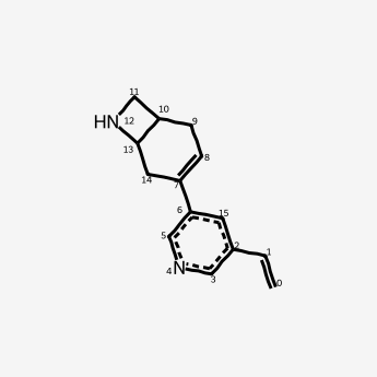 C=Cc1cncc(C2=CCC3CNC3C2)c1